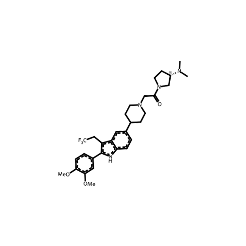 COc1ccc(-c2[nH]c3ccc(C4CCN(CC(=O)N5CC[C@H](N(C)C)C5)CC4)cc3c2CC(F)(F)F)cc1OC